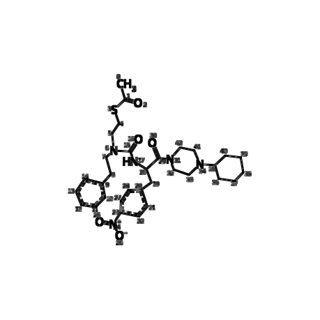 CC(=O)SCCN(CCc1ccccc1)C(=O)NC(Cc1ccc([N+](=O)[O-])cc1)C(=O)N1CCN(C2CCCCC2)CC1